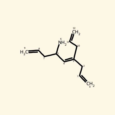 C=CCC(=CC(N)CC=C)CC=C